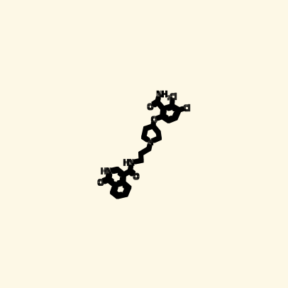 NC(=O)c1c(OC2CCN(CCCNC(=O)c3c[nH]c(=O)c4ccccc34)CC2)ccc(Cl)c1Cl